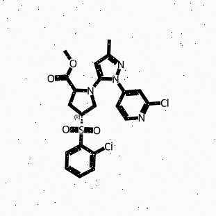 COC(=O)C1C[C@@H](S(=O)(=O)c2ccccc2Cl)CN1c1cc(C)nn1-c1ccnc(Cl)c1